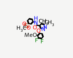 COc1c(Oc2nnc(C)c(C)c2C(=O)Nc2cccc(S(C)(=O)=O)c2)ccc(F)c1F